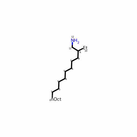 CCCCCCCCCCCCCCCCC(CC)CN